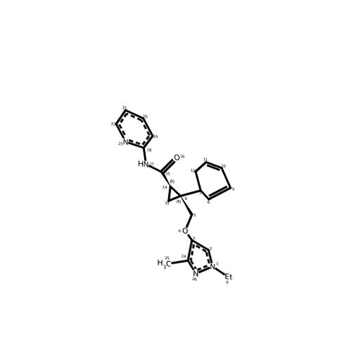 CCn1cc(OC[C@@]2(C3C=CC=CC3)C[C@H]2C(=O)Nc2ccccn2)c(C)n1